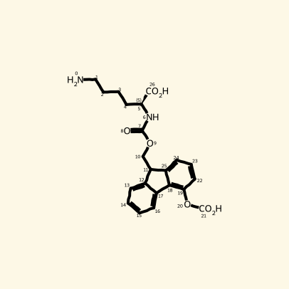 NCCCC[C@H](NC(=O)OCC1c2ccccc2-c2c(OC(=O)O)cccc21)C(=O)O